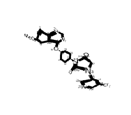 COc1ccc2ncnc(O[C@H]3CC[C@H](N4C(=O)CN(c5cncc(C(F)(F)F)c5)C4=O)CC3)c2c1